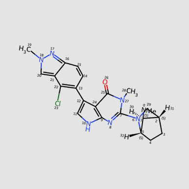 CN[C@H]1[C@H]2CC[C@@H]1N(c1nc3[nH]cc(-c4ccc5nn(C)cc5c4Cl)c3c(=O)n1C)C2